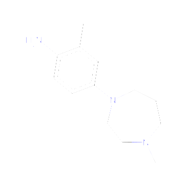 Cc1cc(N2CCCN(C)CC2)ccc1N